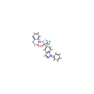 OC(CN1CCCc2ccccc21)(c1ccc2c(cnn2-c2ccccc2)c1)C(F)(F)F